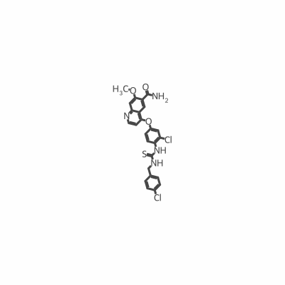 COc1cc2nccc(Oc3ccc(NC(=S)NCc4ccc(Cl)cc4)c(Cl)c3)c2cc1C(N)=O